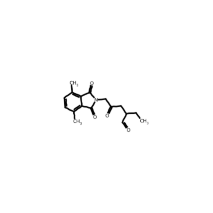 CCC(C=O)CC(=O)CN1C(=O)c2c(C)ccc(C)c2C1=O